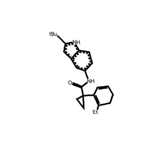 CCC1=C(C2(C(=O)Nc3ccc4[nH]c(C(C)(C)C)cc4c3)CC2)C=CCC1